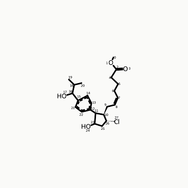 COC(=O)CCC/C=C\C[C@@H]1C(c2ccc(C(O)C(C)C)cc2)C(O)C[C@H]1Cl